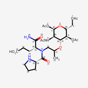 CC(=O)N[C@H]1[C@@H](OC(C)=O)O[C@H](COC(C)=O)[C@@H](OC(C)=O)[C@@H]1OC(C)CN(C(=O)[C@@H]1CCCN1)[C@H](CCC(=O)O)C(N)=O